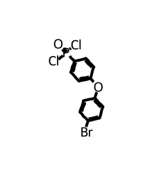 O=P(Cl)(Cl)c1ccc(Oc2ccc(Br)cc2)cc1